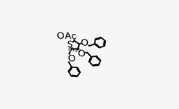 CC(=O)OC1S[C@H](COCc2ccccc2)[C@H](OCc2ccccc2)C1OCc1ccccc1